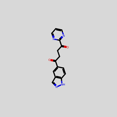 O=C(CCC(=O)c1ncccn1)c1ccc2[nH]ncc2c1